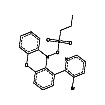 CCCS(=O)(=O)ON1c2ccccc2Oc2cccc(-c3ncccc3Br)c21